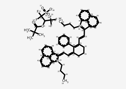 CC(C)(C)C(=O)OC(C(F)(F)F)C(F)(F)S(=O)(=O)[O-].CCCCn1/c(=C\C=C2\CCCC(/C=C/C3=[N+](CCCC)c4cccc5cccc3c45)=C2c2ccccc2)c2cccc3cccc1c32